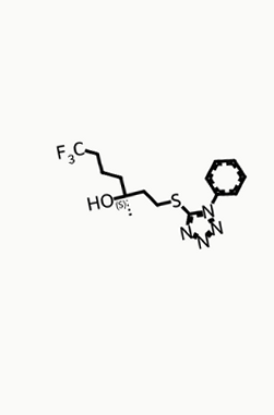 C[C@](O)(CCCC(F)(F)F)CCSc1nnnn1-c1ccccc1